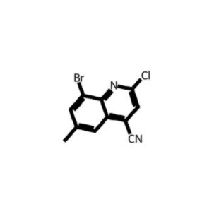 Cc1cc(Br)c2nc(Cl)cc(C#N)c2c1